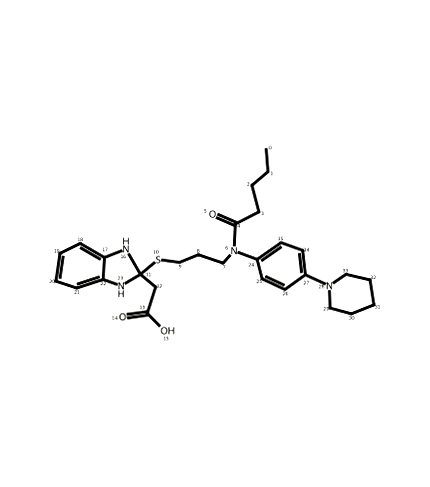 CCCCC(=O)N(CCCSC1(CC(=O)O)Nc2ccccc2N1)c1ccc(N2CCCCC2)cc1